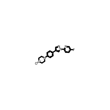 [O-][S+]1CCN(c2ccc(-c3cnn(-c4ccc(F)cn4)c3)cc2)CC1